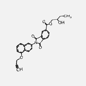 C#CCOc1cccc2cc(N3C(=O)c4ccc(C(=O)OCC(O)CC)cc4C3=O)ccc12